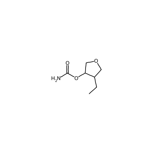 CCC1COCC1OC(N)=O